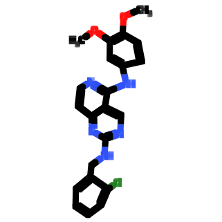 COc1ccc(Nc2nccc3nc(NCc4ccccc4Cl)ncc23)cc1OC